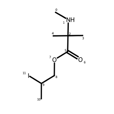 CNC(C)(C)C(=O)OCC(C)I